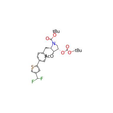 CC(=O)O[C@@H]1[C@@H](OC(=O)OC(C)(C)C)CN(C(=O)OC(C)(C)C)[C@@H]1Cc1ccc(-c2cc(C(F)F)cs2)cc1